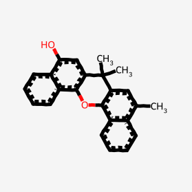 Cc1cc2c(c3ccccc13)Oc1c(cc(O)c3ccccc13)C2(C)C